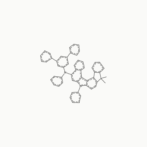 CC1(C)c2ccccc2-c2c1ccc1c2c2c3ccccc3c(N(c3ccccc3)c3cc(-c4ccccc4)cc(-c4ccccc4)c3)cc2n1-c1ccccc1